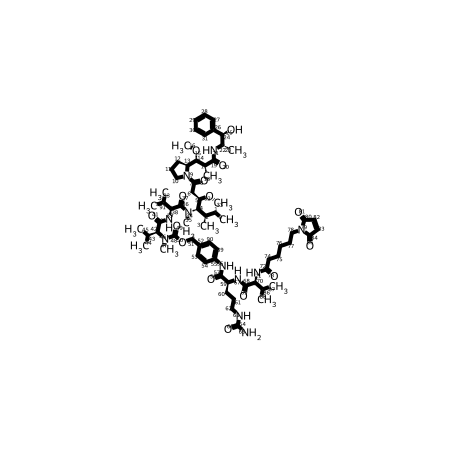 CC[C@H](C)[C@@H]([C@@H](CC(=O)N1CCC[C@H]1[C@H](OC)[C@@H](C)C(=O)N[C@@H](C)[C@H](O)c1ccccc1)OC)N(C)C(=O)[C@@H](NC(=O)[C@H](C(C)C)N(C)C(=O)OCc1ccc(NC(=O)[C@H](CCCNC(N)=O)NC(=O)[C@@H](NC(=O)CCCCCN2C(=O)C=CC2=O)C(C)C)cc1)C(C)C